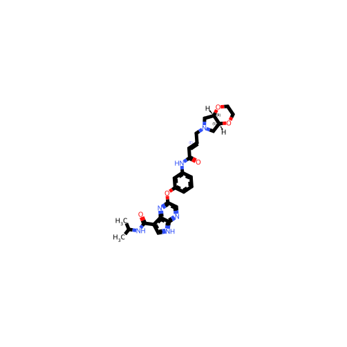 CC(C)NC(=O)c1c[nH]c2ncc(Oc3cccc(NC(=O)/C=C/CN4C[C@@H]5OCCO[C@@H]5C4)c3)nc12